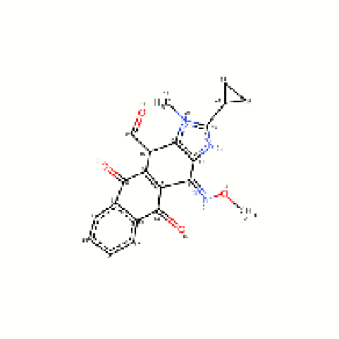 CO/N=C1/C2=C(C(=O)c3ccccc3C2=O)C(C=O)c2c1nc(C1CC1)n2C